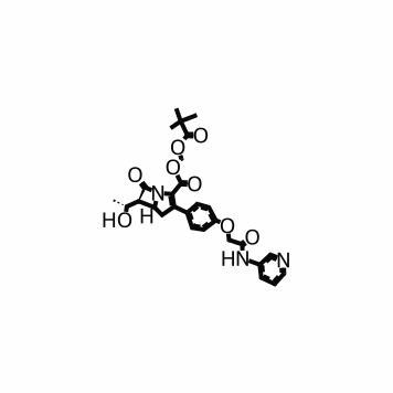 C[C@@H](O)[C@H]1C(=O)N2C(C(=O)OCOC(=O)C(C)(C)C)=C(c3ccc(OCC(=O)Nc4cccnc4)cc3)C[C@H]12